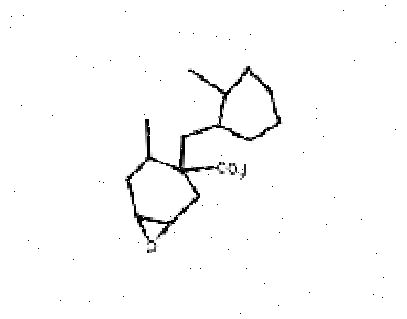 CC1CCCCC1CC1(C(=O)O)CC2OC2CC1C